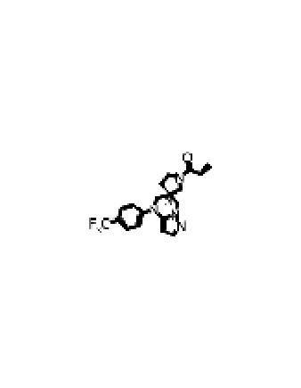 C=CC(=O)N1CC[C@]2(C1)CN(c1ccc(C(F)(F)F)cc1)c1ccnn1C2